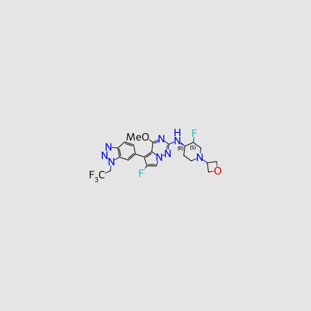 COc1nc(N[C@@H]2CCN(C3COC3)C[C@@H]2F)nn2cc(F)c(-c3ccc4nnn(CC(F)(F)F)c4c3)c12